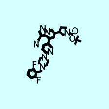 CC(C)(C)OC(=O)N1CCC(c2cc(-c3ccc(N4CCN(Cc5c(F)cccc5F)CC4)nc3)c3c(C#N)cnn3c2)C1